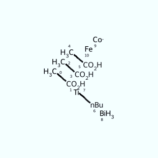 CC(=O)O.CC(=O)O.CC(=O)O.CCC[CH2][Ti].[BiH3].[Co].[Fe]